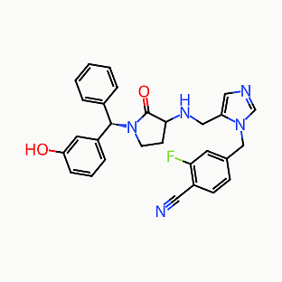 N#Cc1ccc(Cn2cncc2CNC2CCN([C@H](c3ccccc3)c3cccc(O)c3)C2=O)cc1F